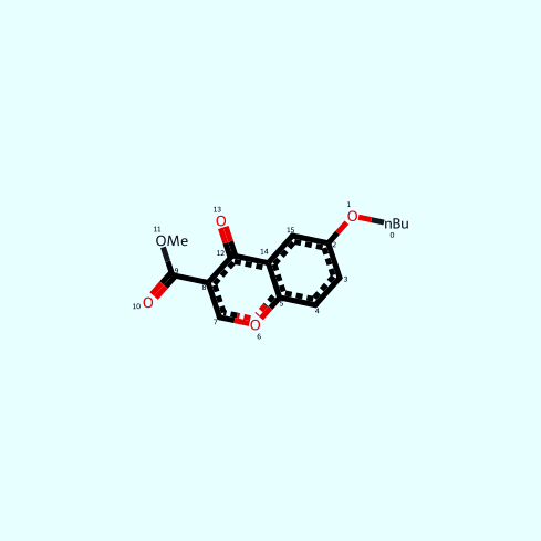 CCCCOc1ccc2occ(C(=O)OC)c(=O)c2c1